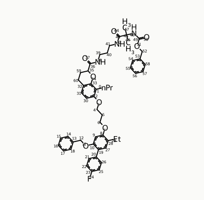 CCCc1c(OCCCOc2cc(OCc3ccccc3)c(-c3ccc(F)cc3)cc2CC)ccc2c1OC(C(=O)NCCCNC(=O)C(C)(C)NC(=O)OCc1ccccc1)CC2